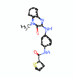 Cn1c(=O)c(Nc2ccc(NC(=O)c3cccs3)cc2)nc2ccccc21